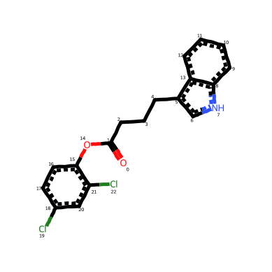 O=C(CCCc1c[nH]c2ccccc12)Oc1ccc(Cl)cc1Cl